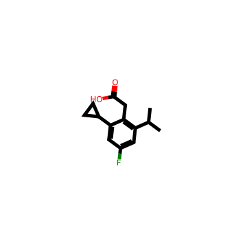 CC(C)c1cc(F)cc(C2CC2)c1CC(=O)O